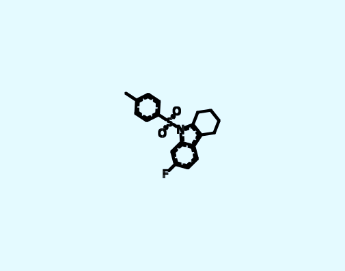 Cc1ccc(S(=O)(=O)n2c3c(c4ccc(F)cc42)CCCC3)cc1